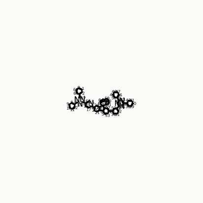 c1ccc(-c2nc(-c3ccccc3)nc(-c3ccc(-c4ccc5c(c4)C4(c6cc(-c7cccc(-c8nc(-c9ccccc9)nc(-c9ccccc9)n8)c7)ccc6-5)C5CC6CC(C5)CC4C6)nc3)n2)cc1